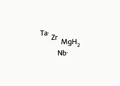 [MgH2].[Nb].[Ta].[Zr]